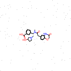 CN(C(=O)Cc1ccc2c(c1)NC(=O)CO2)[C@H](CN1CCC(O)C1)c1cccc(C(=O)O)c1